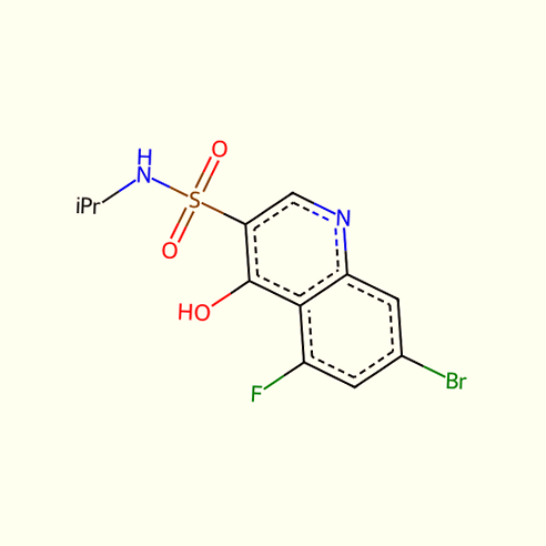 CC(C)NS(=O)(=O)c1cnc2cc(Br)cc(F)c2c1O